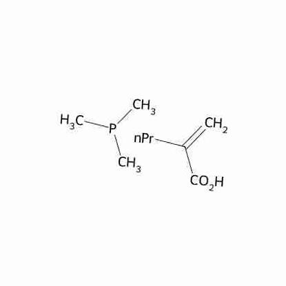 C=C(CCC)C(=O)O.CP(C)C